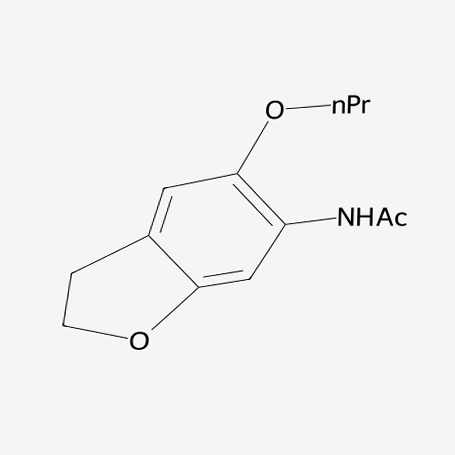 CCCOc1cc2c(cc1NC(C)=O)OCC2